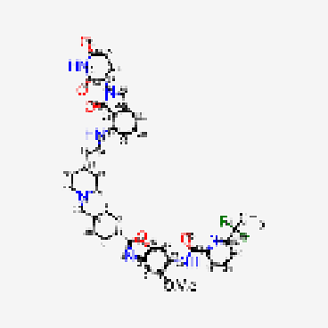 COc1cc2nc([C@H]3CC[C@H](CN4CCC(CCNc5cccc6c5C(=O)N(C5CCC(=O)NC5=O)C6)CC4)CC3)oc2cc1NC(=O)c1cccc(C(C)(F)F)n1